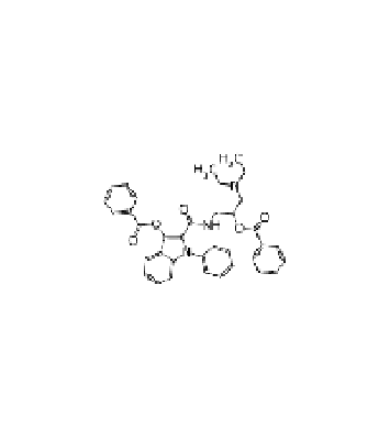 CCN(CC)CC(CNC(=O)c1c(OC(=O)c2ccccc2)c2ccccc2n1-c1ccccc1)OC(=O)c1ccccc1